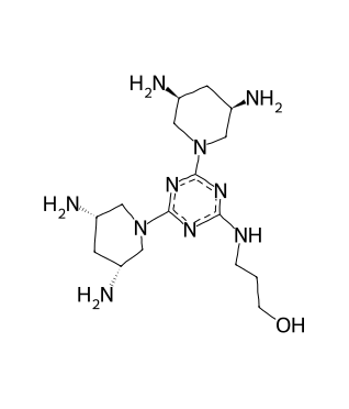 N[C@@H]1C[C@H](N)CN(c2nc(NCCCO)nc(N3C[C@H](N)C[C@H](N)C3)n2)C1